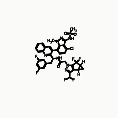 Cn1nc(NS(C)(=O)=O)c2c(Cl)ccc(-c3cc4ccccc4nc3C(Cc3cc(F)cc(F)c3)NC(=O)Cn3nc(C(F)F)c4c3C(F)(F)[C@@H]3C[C@H]43)c21